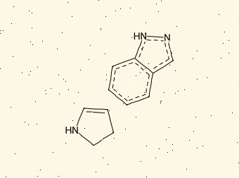 C1=CNCC1.c1ccc2[nH]ncc2c1